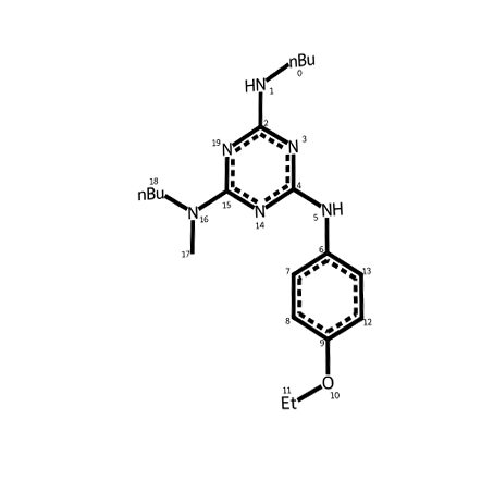 CCCCNc1nc(Nc2ccc(OCC)cc2)nc(N(C)CCCC)n1